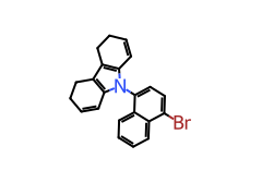 Brc1ccc(-n2c3c(c4c2C=CCC4)CCC=C3)c2ccccc12